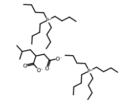 CC(C)CC(CC(=O)[O-])C(=O)[O-].CCCC[P+](CCCC)(CCCC)CCCC.CCCC[P+](CCCC)(CCCC)CCCC